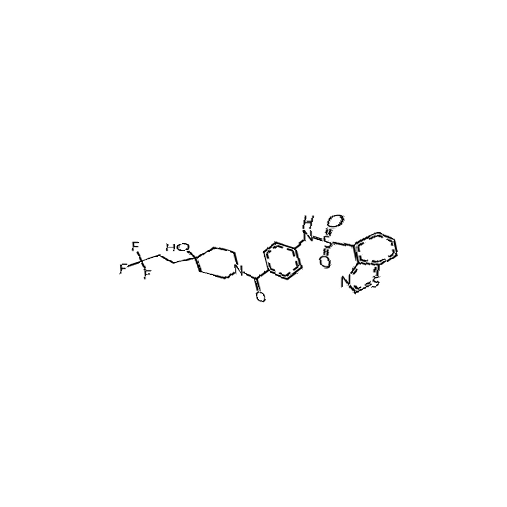 O=C(c1ccc(NS(=O)(=O)c2cccc3scnc23)cc1)N1CCC(O)(CCC(F)(F)F)CC1